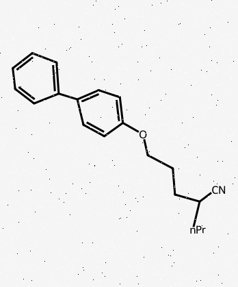 CCCC(C#N)CCCOc1ccc(-c2ccccc2)cc1